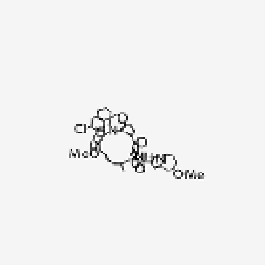 COC1CCCn2cc(C(=O)N[S@@]3(=O)=NC(=O)c4ccc5c(c4)N(C[C@@H]4CC[C@H]4[C@@H](OC)/C=C/C[C@H](C)C3)C[C@@]3(CCCc4cc(Cl)ccc43)CO5)cc2C1